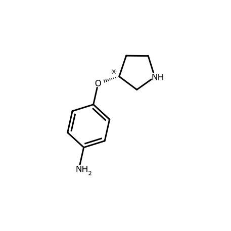 Nc1ccc(O[C@@H]2CCNC2)cc1